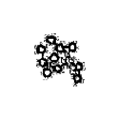 c1ccc(-c2cccc([Si](c3ccccc3)(c3ccccc3)c3cccc(-c4nc(-c5cccc6c5oc5ccccc56)nc(-n5c6ccccc6c6cc(-c7ccccc7)ccc65)n4)c3)c2)cc1